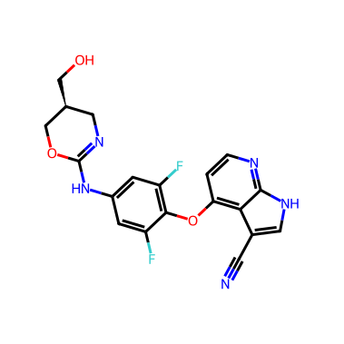 N#Cc1c[nH]c2nccc(Oc3c(F)cc(NC4=NC[C@H](CO)CO4)cc3F)c12